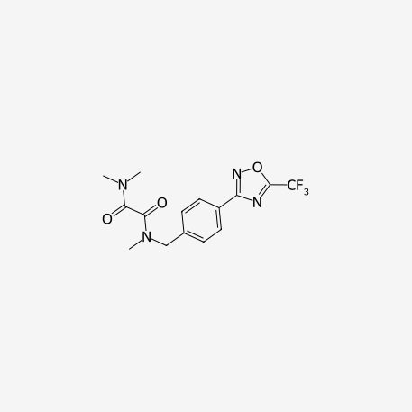 CN(C)C(=O)C(=O)N(C)Cc1ccc(-c2noc(C(F)(F)F)n2)cc1